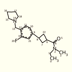 CCN(C)C(=O)C1CC(c2ccc(CN3CCCC3)c(F)c2)C1